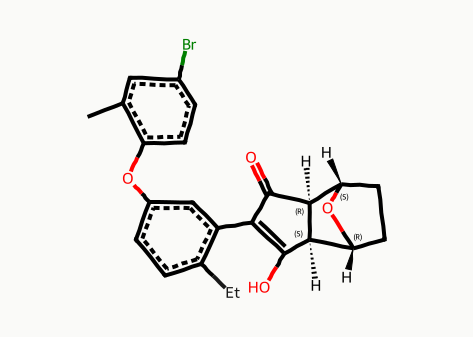 CCc1ccc(Oc2ccc(Br)cc2C)cc1C1=C(O)[C@H]2[C@@H](C1=O)[C@@H]1CC[C@H]2O1